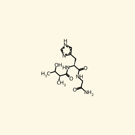 CC(O)[C@H](C)C(=O)N[C@@H](Cc1c[nH]cn1)C(=O)NCC(N)=O